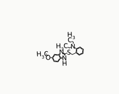 CCN(CC)c1ccccc1CSc1nc2cc(OC)ccc2[nH]1